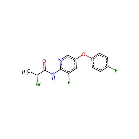 CC(Br)C(=O)Nc1ncc(Oc2ccc(F)cc2)cc1F